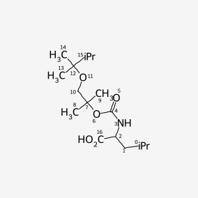 CC(C)CC(NC(=O)OC(C)(C)COC(C)(C)C(C)C)C(=O)O